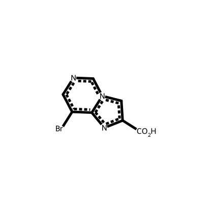 O=C(O)c1cn2cncc(Br)c2n1